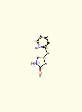 O=C1CC(Cc2ccccn2)CN1